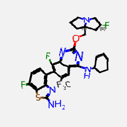 Nc1nc2c(-c3c(C(F)(F)F)cc4c(NC5CCCCC5)nc(OC[C@@]56CCCN5C[C@H](F)C6)nc4c3F)ccc(F)c2s1